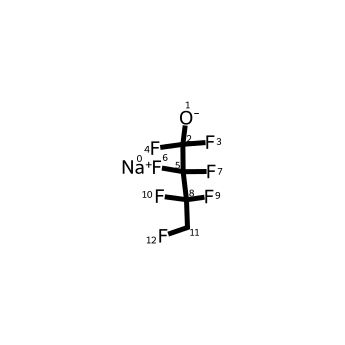 [Na+].[O-]C(F)(F)C(F)(F)C(F)(F)CF